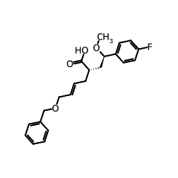 CO[C@H](C[C@H](C/C=C/COCc1ccccc1)C(=O)O)c1ccc(F)cc1